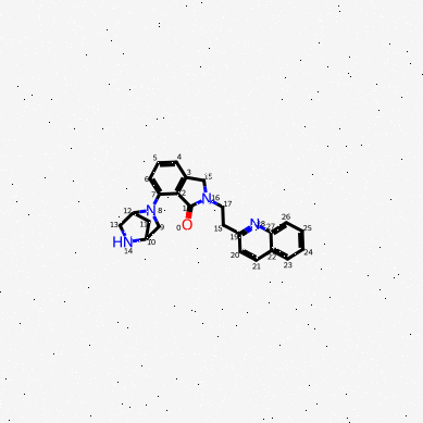 O=C1c2c(cccc2N2CC3CC2CN3)CN1CCc1ccc2ccccc2n1